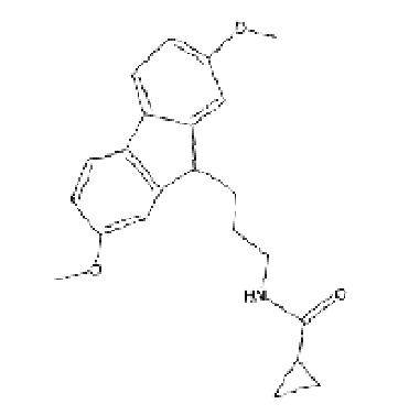 COc1ccc2c(c1)C(CCCNC(=O)C1CC1)c1cc(OC)ccc1-2